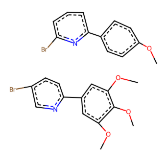 COc1cc(-c2ccc(Br)cn2)cc(OC)c1OC.COc1ccc(-c2cccc(Br)n2)cc1